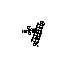 FC(F)(F)C(F)(F)C(F)(F)C(F)(F)C(F)(F)C(F)(F)[N+](F)(F)C(F)(F)C(F)(F)F.N.O=P([O-])(O)O